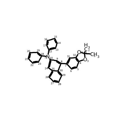 CC1(C)Oc2ccc(-c3cc(N(c4ccccc4)c4ccccc4)cc4ccccc34)cc2O1